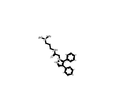 CC(C)N(CCCNC(=O)Cn1ncc(-c2ccccc2)c1-c1ccccc1)C(C)C